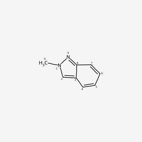 Cn1cc2ccc[c]c2n1